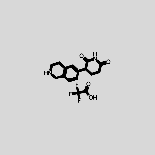 O=C(O)C(F)(F)F.O=C1CCC(c2ccc3c(c2)CCNC3)C(=O)N1